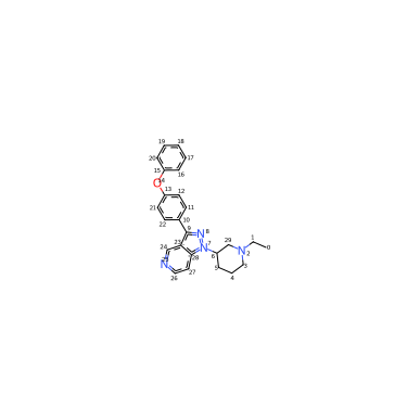 CCN1CCCC(n2nc(-c3ccc(Oc4ccccc4)cc3)c3cnccc32)C1